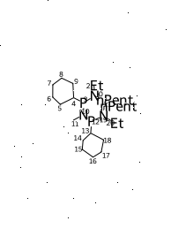 CCCCCN(CC)P(C1CCCCC1)N(C)P(C1CCCCC1)N(CC)CCCCC